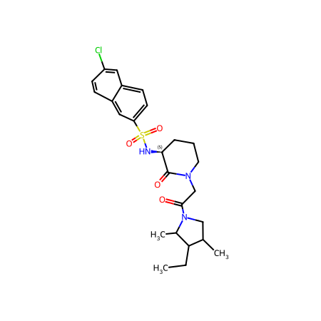 CCC1C(C)CN(C(=O)CN2CCC[C@H](NS(=O)(=O)c3ccc4cc(Cl)ccc4c3)C2=O)C1C